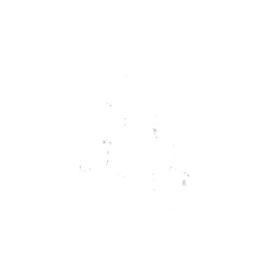 CC(C)(C)C(=O)Nc1cc(Oc2ccccn2)cc2cccnc12